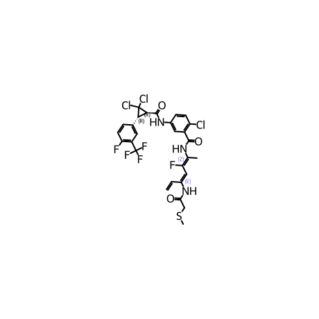 C=C/C(=C\C(F)=C(/C)NC(=O)c1cc(NC(=O)[C@H]2[C@H](c3ccc(F)c(C(F)(F)F)c3)C2(Cl)Cl)ccc1Cl)NC(=O)CSC